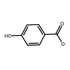 [O]C(=O)c1ccc(O)cc1